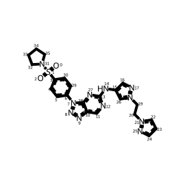 O=S(=O)(c1ccc(-n2nnc3cnc(Nc4cnn(CCn5cccn5)c4)nc32)cc1)N1CCCC1